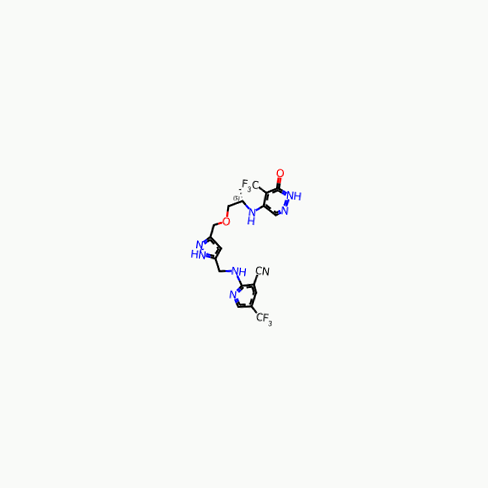 C[C@@H](COCc1cc(CNc2ncc(C(F)(F)F)cc2C#N)[nH]n1)Nc1cn[nH]c(=O)c1C(F)(F)F